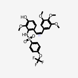 COc1cc(/C=C\c2ccc(O)c(OC)c2NS(=O)(=O)c2ccc(OC(F)(F)F)cc2)cc(OC)c1OC